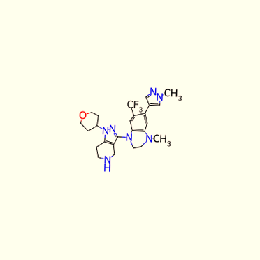 CN1CCN(c2nn(C3CCOCC3)c3c2CNCC3)c2cc(C(F)(F)F)c(-c3cnn(C)c3)cc21